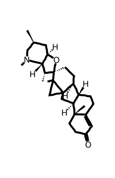 C[C@H]1C[C@H]2O[C@]3(CC[C@H]4[C@@H]5CCC6=CC(=O)CC[C@]6(C)[C@H]5CC45CC53C)[C@H](C)[C@@H]2N(C)C1